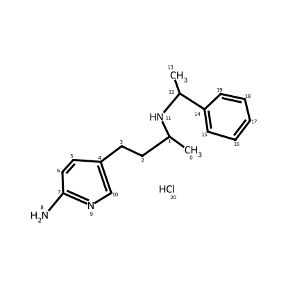 CC(CCc1ccc(N)nc1)NC(C)c1ccccc1.Cl